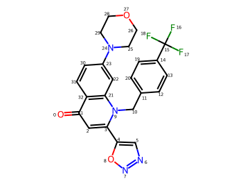 O=c1cc(-c2cnno2)n(Cc2ccc(C(F)(F)F)cc2)c2cc(N3CCOCC3)ccc12